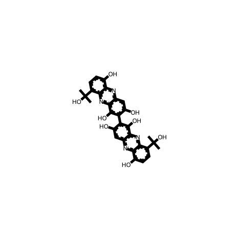 CC(C)(O)c1ccc(O)c2nc3cc(O)c(-c4c(O)cc5nc6c(O)ccc(C(C)(C)O)c6nc5c4O)c(O)c3nc12